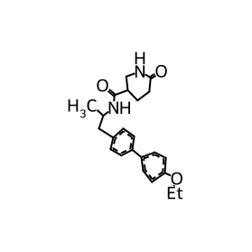 CCOc1ccc(-c2ccc(CC(C)NC(=O)C3CCC(=O)NC3)cc2)cc1